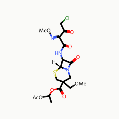 COCC1(C(=O)OC(C)OC(C)=O)CS[C@@H]2C(NC(=O)C(=NOC)C(=O)CCl)C(=O)N2C1